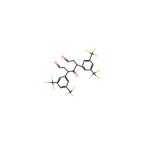 O=CCC(C(=O)C(CC=O)c1cc(C(F)(F)F)cc(C(F)(F)F)c1)c1cc(C(F)(F)F)cc(C(F)(F)F)c1